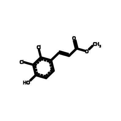 COC(=O)C=Cc1ccc(O)c(Cl)c1Cl